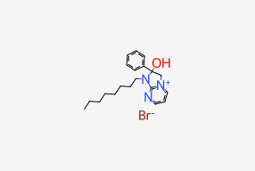 CCCCCCCCN1c2nccc[n+]2CC1(O)c1ccccc1.[Br-]